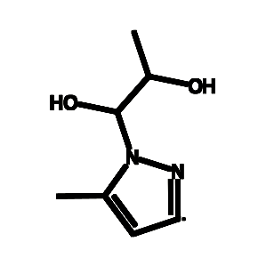 Cc1c[c]nn1C(O)C(C)O